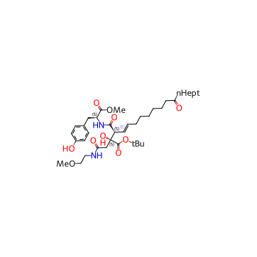 CCCCCCCC(=O)CCCCCC/C=C/[C@H](C(=O)N[C@@H](Cc1ccc(O)cc1)C(=O)OC)[C@@](O)(CC(=O)NCCOC)C(=O)OC(C)(C)C